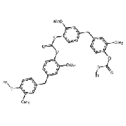 COc1cc(Cc2ccc(OC(=O)OC(C)C)c(OC)c2)ccc1OC(=O)Oc1ccc(Cc2ccc(OC(C)C)c(OC)c2)cc1OC